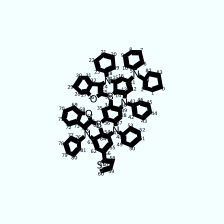 c1ccc(N(c2ccccc2)c2cc3c4c(c2)N(c2ccccc2)c2c(oc5ccccc25)B4c2cc4c(cc2N3c2ccccc2)N(c2ccccc2)c2cc(-c3cccs3)cc3c2B4c2oc4ccccc4c2N3c2ccccc2)cc1